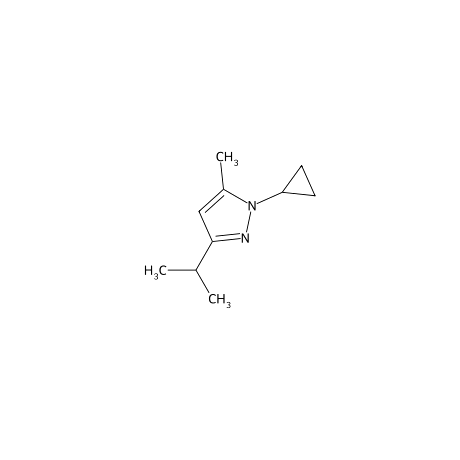 Cc1cc(C(C)C)nn1C1CC1